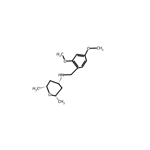 COc1ccc(CN[C@H]2C[C@@H](C)O[C@@H](C)C2)c(OC)c1